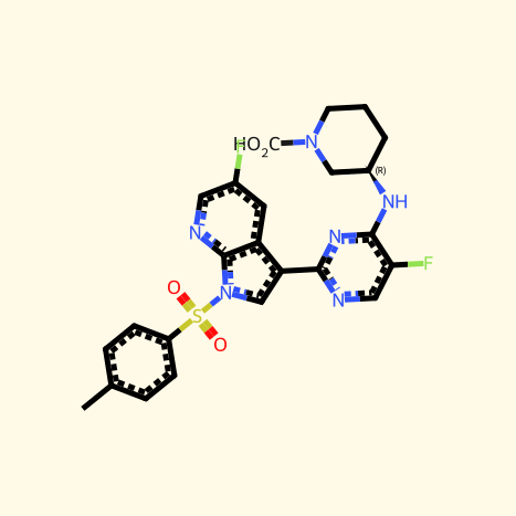 Cc1ccc(S(=O)(=O)n2cc(-c3ncc(F)c(N[C@@H]4CCCN(C(=O)O)C4)n3)c3cc(F)cnc32)cc1